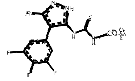 CCOC(=O)NC(=S)Nc1[nH]nc(C(C)C)c1-c1cc(F)c(F)c(F)c1